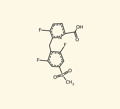 CS(=O)(=O)c1cc(F)c(Cc2nc(C(=O)O)ccc2F)c(F)c1